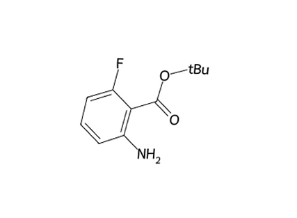 CC(C)(C)OC(=O)c1c(N)cccc1F